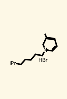 Br.CC1=CC=CN(CCCCCC(C)C)C1